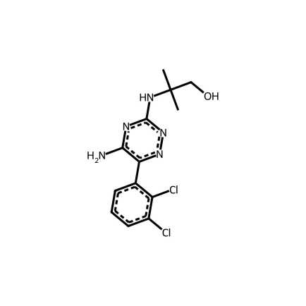 CC(C)(CO)Nc1nnc(-c2cccc(Cl)c2Cl)c(N)n1